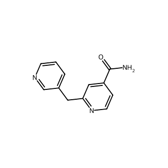 NC(=O)c1ccnc(Cc2cccnc2)c1